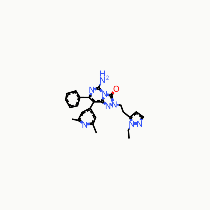 CCn1nccc1CCn1nc2c(-c3cc(C)nc(C)c3)c(-c3ccccc3)nc(N)n2c1=O